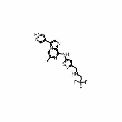 Cc1cn2c(-c3cn[nH]c3)cnc2c(Nc2cc(CNCC(F)(F)F)ns2)n1